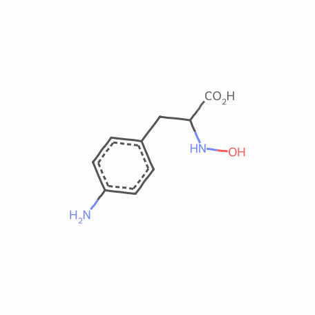 Nc1ccc(CC(NO)C(=O)O)cc1